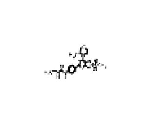 CCNC(=O)Nc1ccc(-c2nc3c(c(N4CCOC[C@H]4C)n2)CN(S(C)(=O)=O)C3)cc1